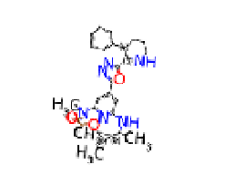 CC(Nc1cc(-c2nnc([C@H]3NCCC[C@@H]3c3ccccc3)o2)cc(N(C)S(C)(=O)=O)n1)[C@@H]1C[C@H]1C